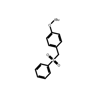 CC(C)(C)Oc1ccc(CS(=O)(=O)c2[c]cccc2)cc1